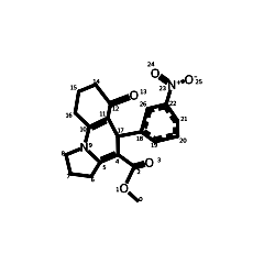 COC(=O)C1=C2CCCN2C2=C(C(=O)CCC2)C1c1cccc([N+](=O)[O-])c1